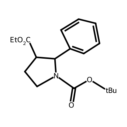 CCOC(=O)C1CCN(C(=O)OC(C)(C)C)C1c1ccccc1